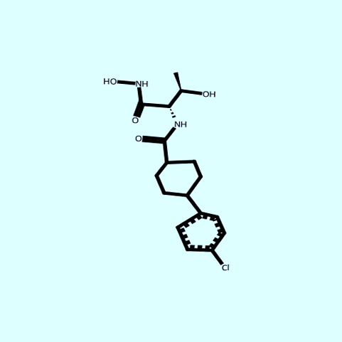 C[C@@H](O)[C@H](NC(=O)C1CCC(c2ccc(Cl)cc2)CC1)C(=O)NO